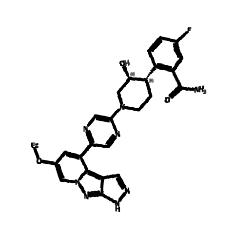 CCOc1cc(-c2cnc(N3CC[C@@H](c4ccc(F)cc4C(N)=O)[C@H](O)C3)cn2)c2c3cn[nH]c3nn2c1